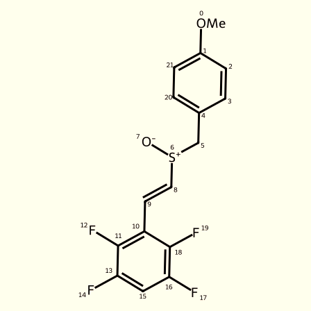 COc1ccc(C[S+]([O-])C=Cc2c(F)c(F)cc(F)c2F)cc1